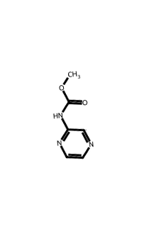 COC(=O)Nc1[c]nccn1